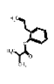 C=CCc1ccccc1OC(=O)C(C)C